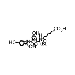 C#Cc1ccc([C@H](CO)NC(=O)[C@@H]2C[C@@H](O)CN2C(=O)C(NC(=O)CCCCCCC(=O)O)C(C)(C)C)cc1